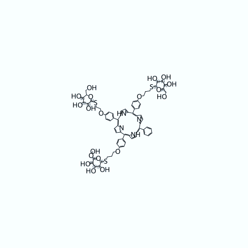 OCC1O[C@@H](SCCOc2ccc(-c3c4nc(c(-c5ccc(OCCCS[C@@H]6O[C@H](OO)[C@H](O)[C@H](O)[C@@H]6O)cc5)c5ccc([nH]5)c(-c5ccccc5)c5nc(c(-c6ccc(OCCCS[C@@H]7O[C@H](CO)[C@H](O)[C@H](O)[C@@H]7O)cc6)c6ccc3[nH]6)C=C5)C=C4)cc2)[C@@H](O)[C@@H](O)[C@H]1O